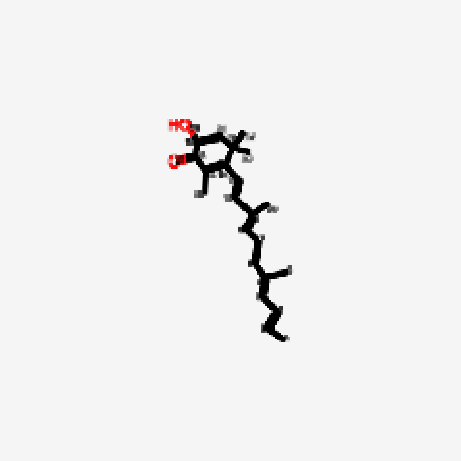 C/C=C/C=C(C)/C=C/C=C(C)/C=C/C1=C(C)C(=O)C(O)=CC1(C)C